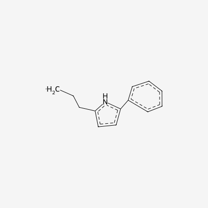 [CH2]CCc1ccc(-c2ccccc2)[nH]1